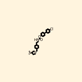 CN(C)C1CCN(Cc2ccc(CCNC(=O)Oc3ccc(-c4ccc(Cl)cc4)cc3)cc2)C1